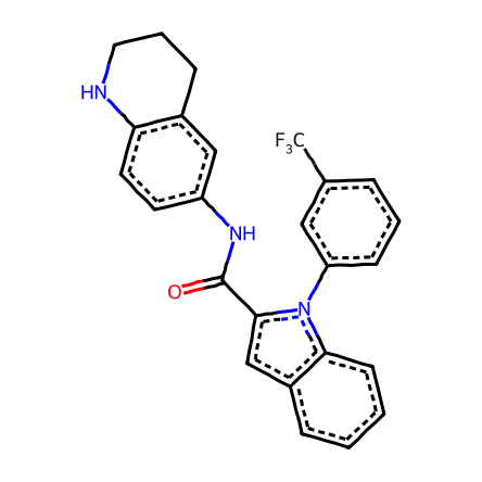 O=C(Nc1ccc2c(c1)CCCN2)c1cc2ccccc2n1-c1cccc(C(F)(F)F)c1